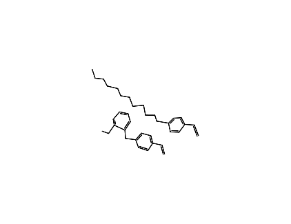 C=Cc1ccc(CCCCCCCCCCCC)cc1.C=Cc1ccc(Cc2ccccc2CC)cc1